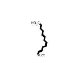 CCCCCCCC/C=C/C/C=C\C/C=C/CCCC(=O)O